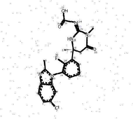 Cc1nc2ccc(Cl)cc2n1-c1cccc([C@]2(C)CC(=O)N(C)/C(=N/C(=O)O)N2)c1F